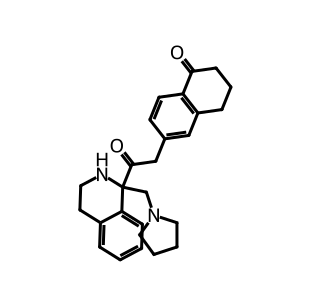 O=C1CCCc2cc(CC(=O)C3(CN4CCCC4)NCCc4ccccc43)ccc21